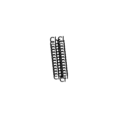 ClC(Cl)C(Cl)(Cl)C(Cl)(Cl)C(Cl)(Cl)C(Cl)(Cl)C(Cl)(Cl)C(Cl)(Cl)C(Cl)(Cl)C(Cl)(Cl)C(Cl)(Cl)C(Cl)(Cl)C(Cl)(Cl)C(Cl)(Cl)C(Cl)(Cl)Cl